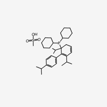 CC(C)C1=C(c2ccc(C(C)C)cc2)C(C(C)C)(P(C2CCCCC2)C2CCCCC2)CC=C1.CS(=O)(=O)O